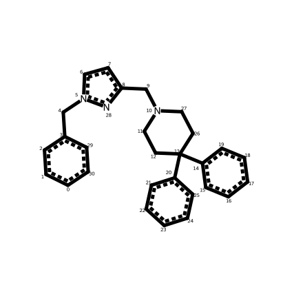 c1ccc(Cn2ccc(CN3CCC(c4ccccc4)(c4ccccc4)CC3)n2)cc1